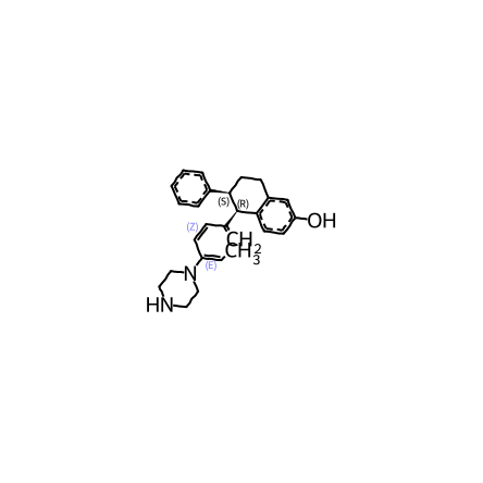 C=C(/C=C\C(=C/C)N1CCNCC1)[C@@H]1c2ccc(O)cc2CC[C@@H]1c1ccccc1